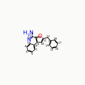 Nc1nc2ccccc2c2cc(Cc3ccccc3)oc12